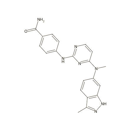 Cc1n[nH]c2cc(N(C)c3ccnc(Nc4ccc(C(N)=O)cc4)n3)ccc12